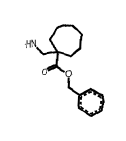 [NH]CC1(C(=O)OCc2ccccc2)CCCCCC1